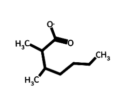 CCCCC(C)C(C)C([O])=O